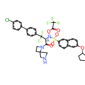 O=C([C@H](N(OC(=O)C(F)(F)F)S(=O)(=O)c1ccc2cc(OC3CCCC3)ccc2c1)C(F)(F)c1ccc(-c2ccc(Cl)cc2)cc1)N1CCC12CNC2